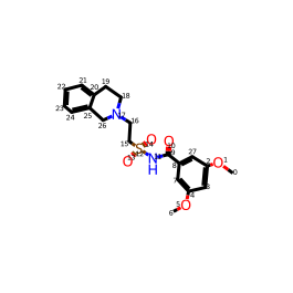 COc1cc(OC)cc(C(=O)NS(=O)(=O)CCN2CCc3ccccc3C2)c1